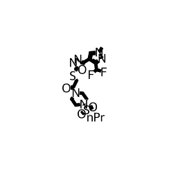 CCCS(=O)(=O)N1CCN(C(=O)CSc2nnc(-c3cn(C)nc3C(F)F)o2)CC1